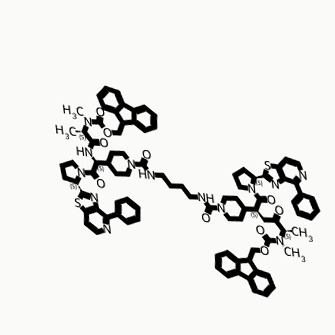 C[C@@H](C(=O)C[C@H](C(=O)N1CCC[C@H]1c1nc2c(-c3ccccc3)nccc2s1)C1CCN(C(=O)NCCCCNC(=O)N2CCC([C@H](NC(=O)[C@H](C)N(C)C(=O)OCC3c4ccccc4-c4ccccc43)C(=O)N3CCC[C@H]3c3nc4c(-c5ccccc5)nccc4s3)CC2)CC1)N(C)C(=O)OCC1c2ccccc2-c2ccccc21